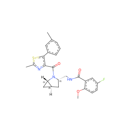 COc1ccc(F)cc1C(=O)NC[C@@H]1C[C@H]2C[C@@H]2N1C(=O)c1nc(C)sc1-c1cccc(C)c1